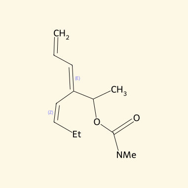 C=C/C=C(\C=C/CC)C(C)OC(=O)NC